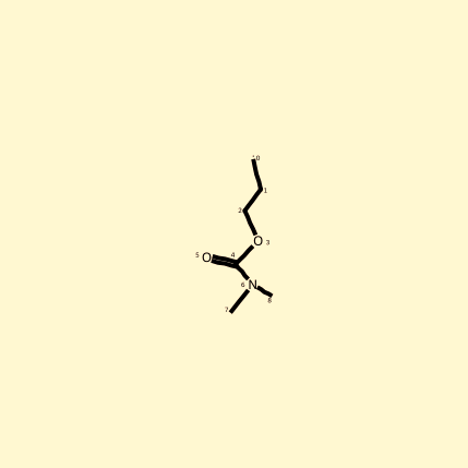 [CH2]CCOC(=O)N(C)C